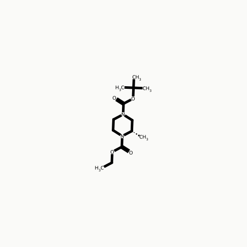 CCOC(=O)N1CCN(C(=O)OC(C)(C)C)C[C@@H]1C